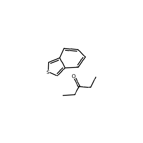 CCC(=O)CC.c1ccc2cscc2c1